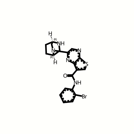 O=C(Nc1ccccc1Br)c1csc2ncc(N3C[C@H]4CC[C@@H]3CN4)nc12